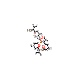 CC(=O)SC(C(C)C)C1C[C@H](C)CCO1.CC(C)C(S)C1C[C@@H](C)CCO1.CC1CCOC(C(S)C(C)C)C1